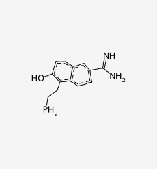 N=C(N)c1ccc2c(CCP)c(O)ccc2c1